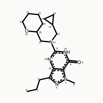 CCCc1nn(C)c2c(=O)[nH]c(N(CC3CC3)CC3CCCCO3)nc12